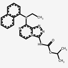 CCN(c1cccc2ccccc12)c1nccn2c(NC(=O)OC(C)C)nnc12